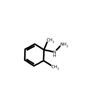 CC1C=CC=CC1(C)NN